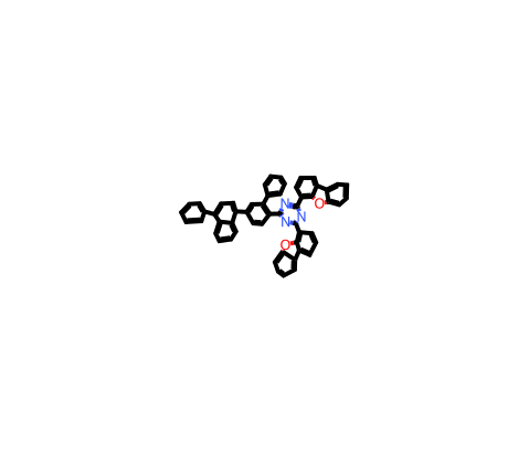 c1ccc(-c2cc(-c3ccc(-c4ccccc4)c4ccccc34)ccc2-c2nc(-c3cccc4c3oc3ccccc34)nc(-c3cccc4c3oc3ccccc34)n2)cc1